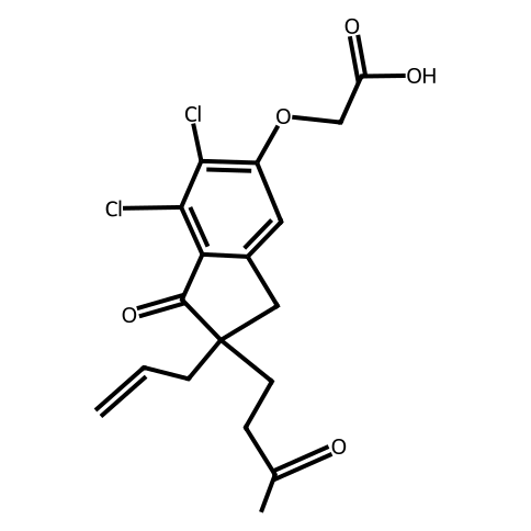 C=CCC1(CCC(C)=O)Cc2cc(OCC(=O)O)c(Cl)c(Cl)c2C1=O